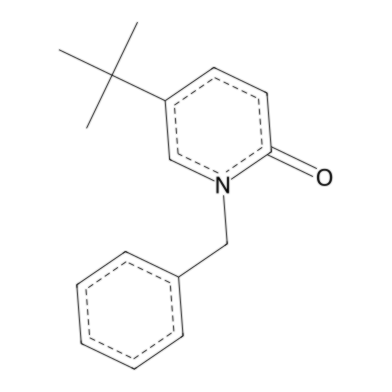 CC(C)(C)c1ccc(=O)n(Cc2ccccc2)c1